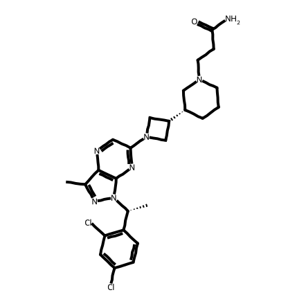 Cc1nn([C@H](C)c2ccc(Cl)cc2Cl)c2nc(N3CC([C@H]4CCCN(CCC(N)=O)C4)C3)cnc12